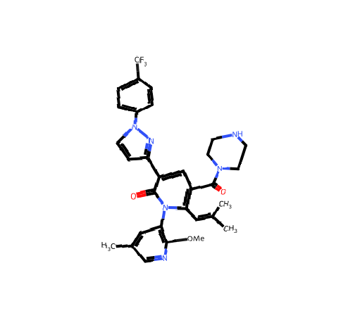 COc1ncc(C)cc1-n1c(C=C(C)C)c(C(=O)N2CCNCC2)cc(-c2ccn(-c3ccc(C(F)(F)F)cc3)n2)c1=O